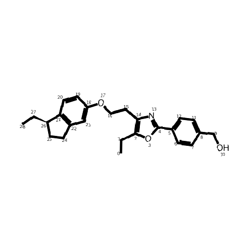 CCc1oc(-c2ccc(CO)cc2)nc1CCOc1ccc2c(c1)CC[C@H]2CC